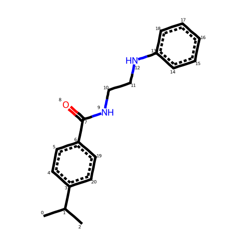 CC(C)c1ccc(C(=O)NCCNc2ccccc2)cc1